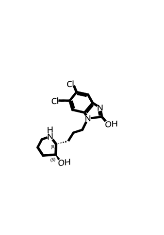 Oc1nc2cc(Cl)c(Cl)cc2n1CCC[C@H]1NCCC[C@@H]1O